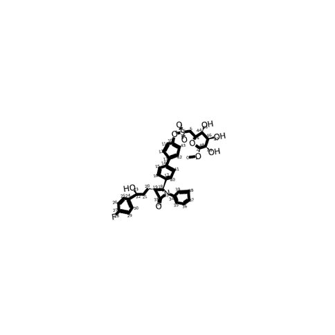 CO[C@@H]1OC(CS(=O)(=O)Oc2ccc(-c3ccc([C@@H]4[C@@H](CC[C@H](O)c5ccc(F)cc5)C(=O)N4c4ccccc4)cc3)cc2)[C@H](O)[C@@H](O)[C@@H]1O